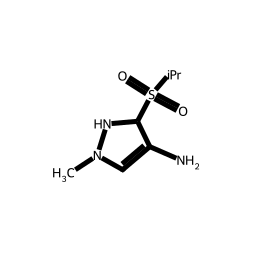 CC(C)S(=O)(=O)C1NN(C)C=C1N